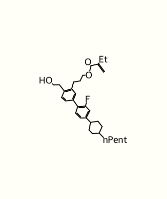 C=C(CC)C(=O)OCCCc1cc(-c2ccc(C3CCC(CCCCC)CC3)cc2F)ccc1CCO